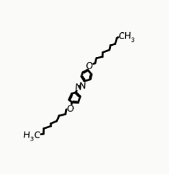 CCCCCCCCCOc1ccc(/N=N/c2ccc(OCCCCCCCCC)cc2)cc1